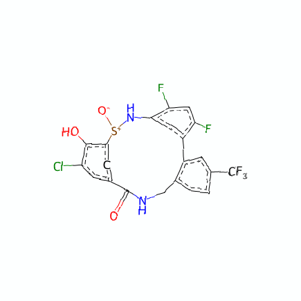 O=C1NCc2ccc(C(F)(F)F)cc2-c2cc(c(F)cc2F)N[S+]([O-])c2cc1cc(Cl)c2O